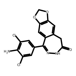 Nc1c(Cl)cc(C2=NNC(=O)Cc3cc4c(cc32)OCO4)cc1Cl